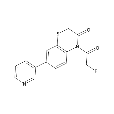 O=C(CF)N1C(=O)CSc2cc(-c3cccnc3)ccc21